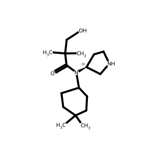 CC1(C)CCC(N(C(=O)C(C)(C)CO)[C@H]2CCNC2)CC1